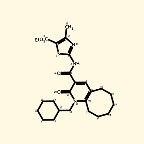 CCOC(=O)c1sc(NC(=O)c2cc3c(n(CC4CCCCC4)c2=O)CCCCCC3)nc1C